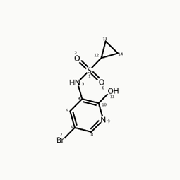 O=S(=O)(Nc1cc(Br)cnc1O)C1CC1